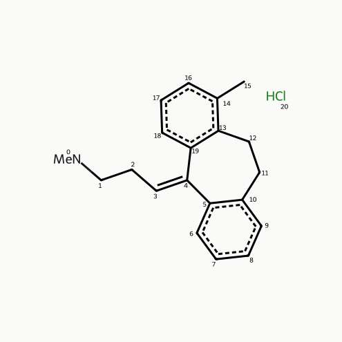 CNCC/C=C1/c2ccccc2CCc2c(C)cccc21.Cl